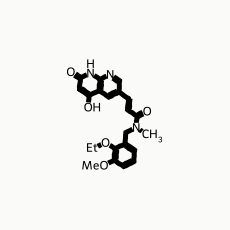 CCOc1c(CN(C)C(=O)C=Cc2cnc3[nH]c(=O)cc(O)c3c2)cccc1OC